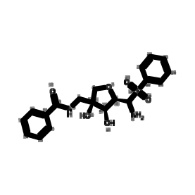 NC([C@@H]1OC[C@@](O)(CNC(=O)c2ccccc2)[C@@H]1O)S(=O)(=O)c1ccccc1